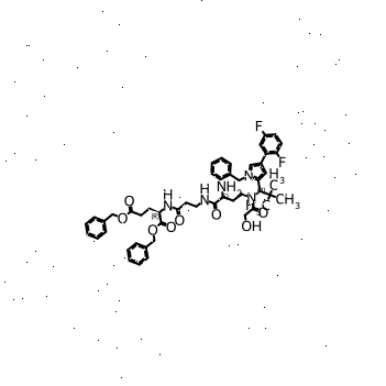 CC(C)(C)[C@H](c1cc(-c2cc(F)ccc2F)cn1Cc1ccccc1)N(CC[C@H](N)C(=O)NCCC(=O)N[C@H](CCC(=O)OCc1ccccc1)C(=O)OCc1ccccc1)C(=O)CO